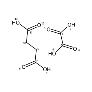 O=C(O)C(=O)O.O=C(O)CCC(=O)O